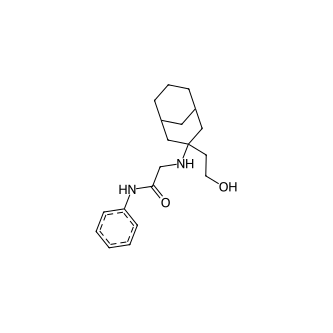 O=C(CNC1(CCO)CC2CCCC(C2)C1)Nc1ccccc1